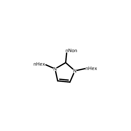 CCCCCCCCCC1N(CCCCCC)C=CN1CCCCCC